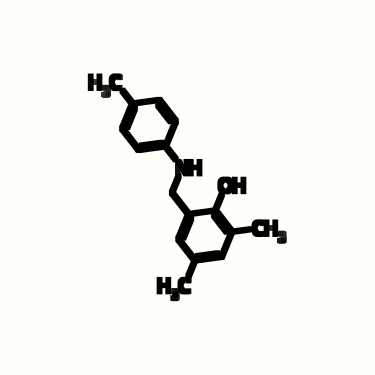 Cc1ccc(NCc2cc(C)cc(C)c2O)cc1